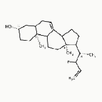 C=CC(F)[C@@H](C)C1CCC2C3=CCC4C[C@@H](O)CC[C@]4(C)C3CC[C@@]21C